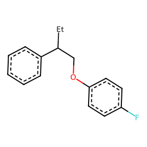 CCC(COc1ccc(F)cc1)c1ccccc1